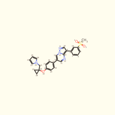 CS(=O)(=O)c1cccc(-c2cnn3cc(-c4ccc(OC5(Cn6cccc6)CC5)cc4)cnc23)c1